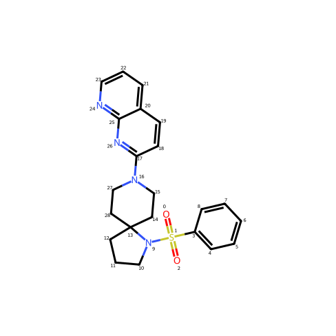 O=S(=O)(c1ccccc1)N1CCCC12CCN(c1ccc3cccnc3n1)CC2